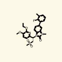 CCOc1nc([C@@H](CS(C)(=O)=O)n2c(=O)n(C)c3cc(-c4cccc(C)c4F)ccc32)ccc1OC